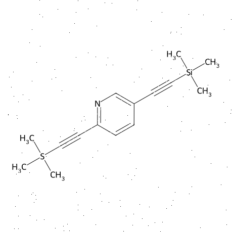 C[Si](C)(C)C#Cc1ccc(C#CS(C)(C)C)nc1